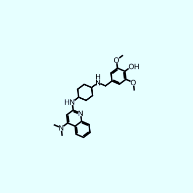 COc1cc(CNC2CCC(Nc3cc(N(C)C)c4ccccc4n3)CC2)cc(OC)c1O